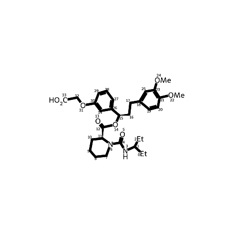 CCC(CC)NC(=O)N1CCCC[C@H]1C(=O)O[C@H](CCc1ccc(OC)c(OC)c1)c1cccc(OCC(=O)O)c1